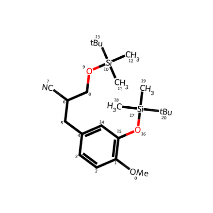 COc1ccc(CC(C#N)CO[Si](C)(C)C(C)(C)C)cc1O[Si](C)(C)C(C)(C)C